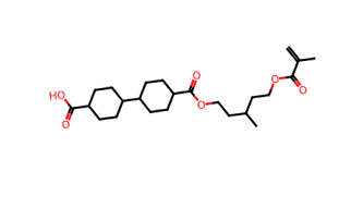 C=C(C)C(=O)OCCC(C)CCOC(=O)C1CCC(C2CCC(C(=O)O)CC2)CC1